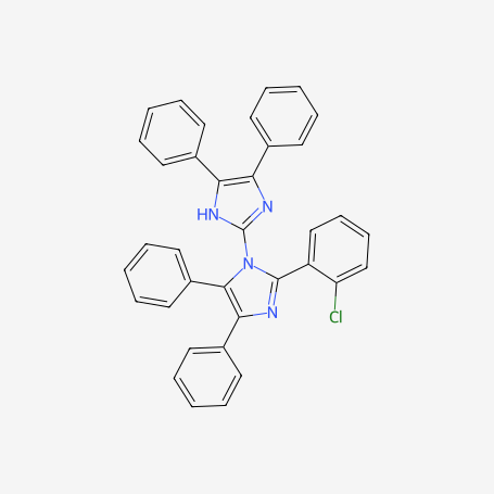 Clc1ccccc1-c1nc(-c2ccccc2)c(-c2ccccc2)n1-c1nc(-c2ccccc2)c(-c2ccccc2)[nH]1